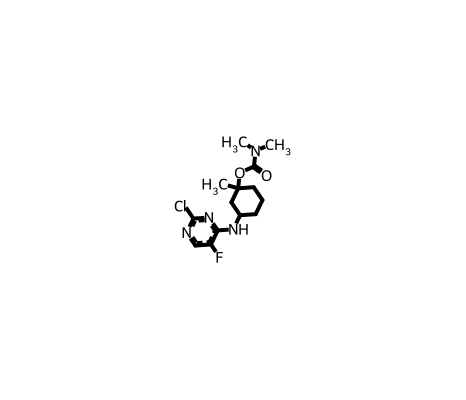 CN(C)C(=O)OC1(C)CCCC(Nc2nc(Cl)ncc2F)C1